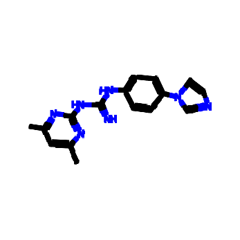 Cc1cc(C)nc(NC(=N)Nc2ccc(-n3ccnc3)cc2)n1